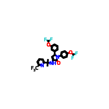 CC(C)(NC1=CC(c2cccc(OC(F)F)c2)N(c2ccc(OC(F)F)cc2)C1=O)c1cccc(C(F)(F)F)n1